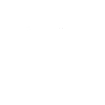 CC1([O])CCCC1.CCCCCCCC[O]